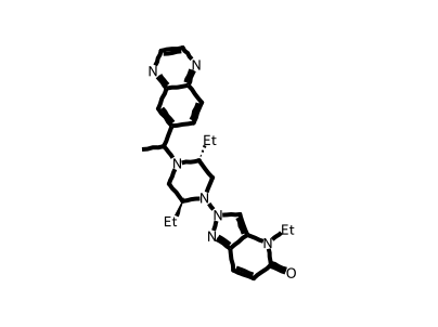 CC[C@@H]1CN(n2cc3c(ccc(=O)n3CC)n2)[C@@H](CC)CN1C(C)c1ccc2nccnc2c1